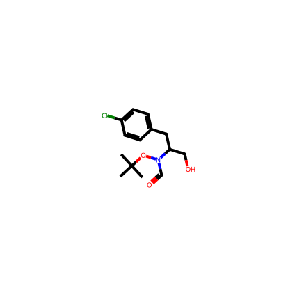 CC(C)(C)ON(C=O)C(CO)Cc1ccc(Cl)cc1